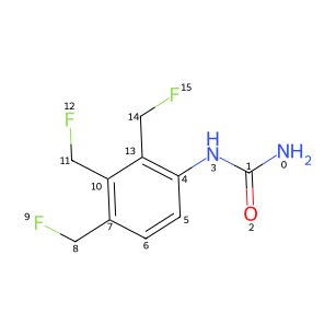 NC(=O)Nc1ccc(CF)c(CF)c1CF